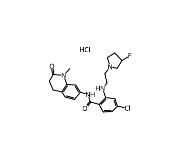 CN1C(=O)CCc2ccc(NC(=O)c3ccc(Cl)cc3NCCN3CCC(F)C3)cc21.Cl